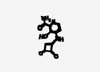 NC(=O)c1nccc(NC2CC(=O)C2=O)c1O